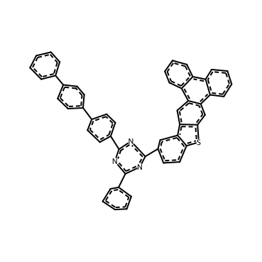 c1ccc(-c2ccc(-c3ccc(-c4nc(-c5ccccc5)nc(-c5ccc6sc7cc8c9ccccc9c9ccccc9c8cc7c6c5)n4)cc3)cc2)cc1